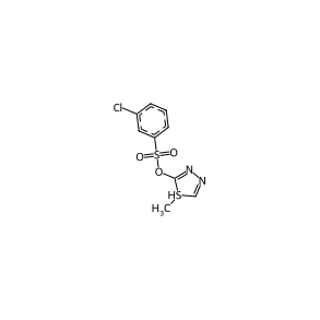 C[SH]1C=NN=C1OS(=O)(=O)c1cccc(Cl)c1